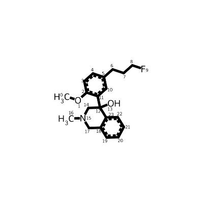 COc1ccc(CCCF)cc1C1(O)CN(C)Cc2ccccc21